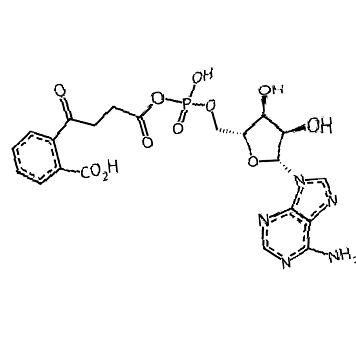 Nc1ncnc2c1ncn2[C@@H]1O[C@H](COP(=O)(O)OC(=O)CCC(=O)c2ccccc2C(=O)O)[C@@H](O)[C@H]1O